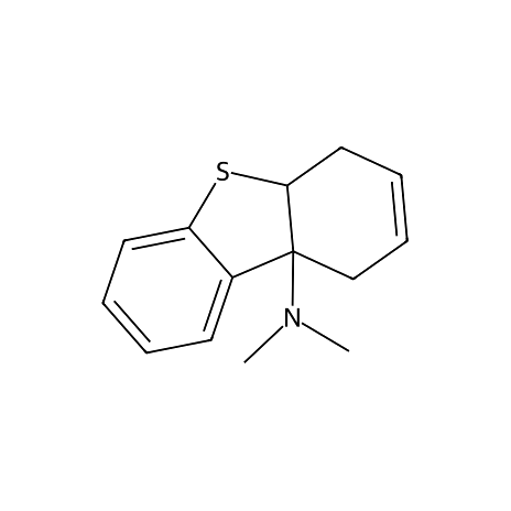 CN(C)C12CC=CCC1Sc1ccccc12